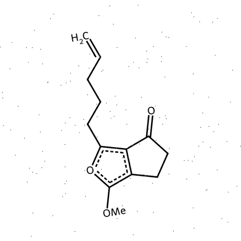 C=CCCCc1oc(OC)c2c1C(=O)CC2